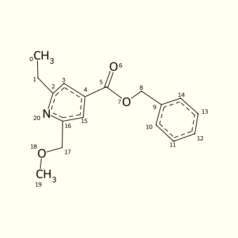 CCc1cc(C(=O)OCc2ccccc2)cc(COC)n1